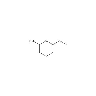 CCC1CCCC(O)S1